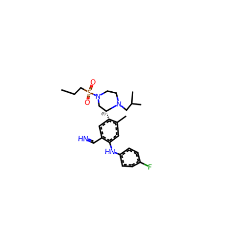 CCCS(=O)(=O)N1CCN(CC(C)C)[C@H](c2cc(C=N)c(Nc3ccc(F)cc3)cc2C)C1